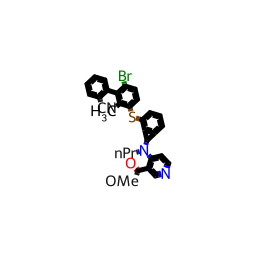 CCCN(c1ccncc1C(=O)OC)C1c2cccc(Sc3ccc(Br)c(-c4ccccc4C#N)c3C)c21